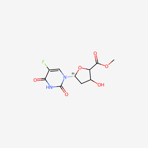 COC(=O)C1O[C@@H](n2cc(F)c(=O)[nH]c2=O)CC1O